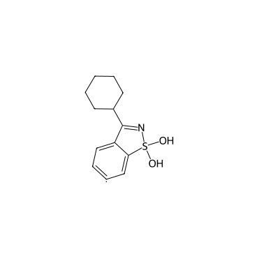 OS1(O)N=C(C2CCCCC2)c2cc[c]cc21